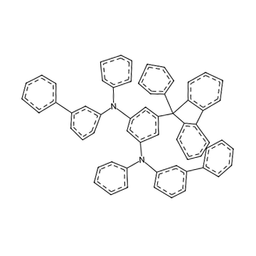 c1ccc(-c2cccc(N(c3ccccc3)c3cc(N(c4ccccc4)c4cccc(-c5ccccc5)c4)cc(C4(c5ccccc5)c5ccccc5-c5ccccc54)c3)c2)cc1